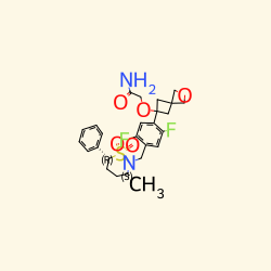 C[C@H]1CC[C@H](c2ccccc2)S(=O)(=O)N1Cc1cc(F)c(C2(OCC(N)=O)CC3(COC3)C2)cc1F